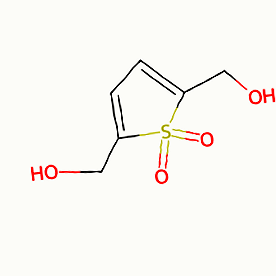 O=S1(=O)C(CO)=CC=C1CO